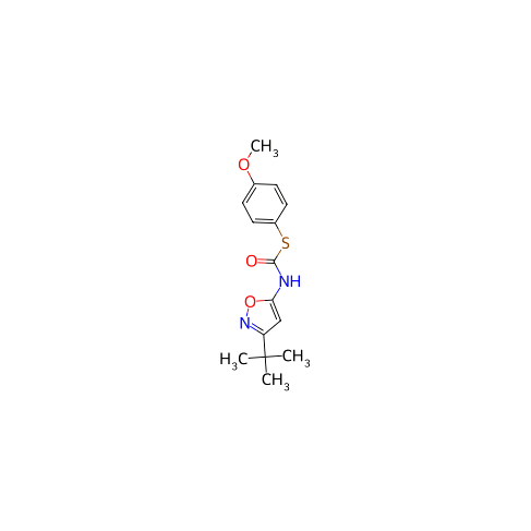 COc1ccc(SC(=O)Nc2cc(C(C)(C)C)no2)cc1